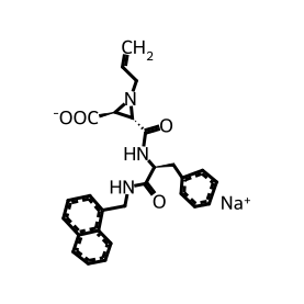 C=CCN1[C@H](C(=O)[O-])[C@H]1C(=O)N[C@@H](Cc1ccccc1)C(=O)NCc1cccc2ccccc12.[Na+]